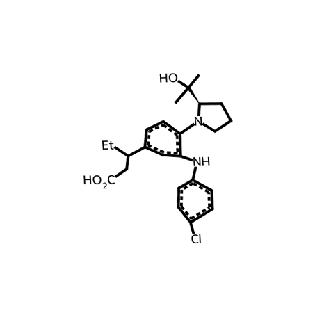 CCC(CC(=O)O)c1ccc(N2CCC[C@@H]2C(C)(C)O)c(Nc2ccc(Cl)cc2)c1